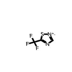 FC(F)(F)C1=NC=[N+]S1